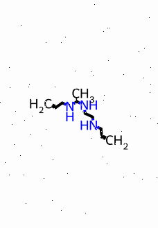 C=CCNCCN[C@@H](C)NCC=C